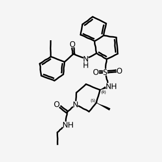 CCNC(=O)N1CC[C@@H](NS(=O)(=O)c2ccc3ccccc3c2NC(=O)c2ccccc2C)[C@@H](C)C1